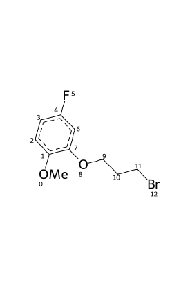 COc1ccc(F)cc1OCCCBr